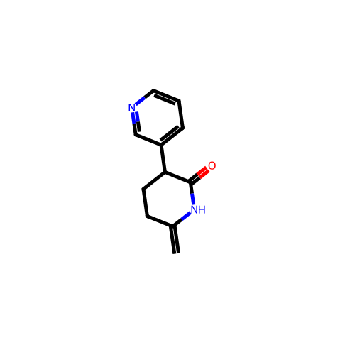 C=C1CCC(c2cccnc2)C(=O)N1